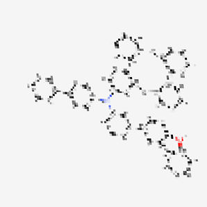 c1ccc(-c2ccc(N(c3cccc(-c4ccc5oc6ccccc6c5c4)c3)c3ccc4c(c3)Cc3ccccc3-c3ccccc3Cc3ccccc3-4)cc2)cc1